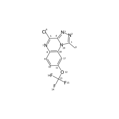 Cc1nnc2c(Cl)nc3ccc(OC(F)(F)F)cc3n12